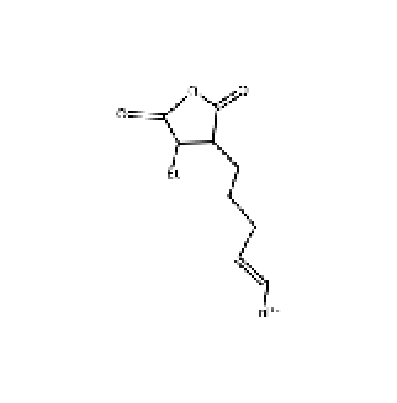 CCCC=CCCCC1C(=O)OC(=O)C1CC